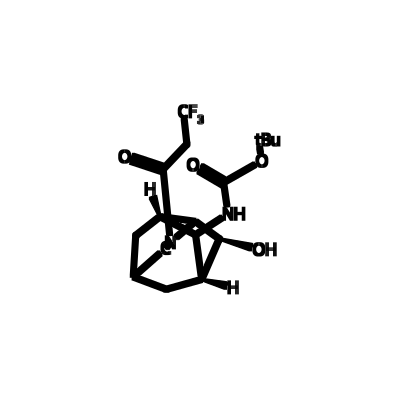 CC(C)(C)OC(=O)NC1[C@@H]2CC3C[C@H]1[C@H](O)C2N(C(=O)CC(F)(F)F)C3